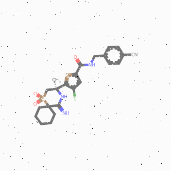 C[C@@]1(c2sc(C(=O)NCc3ccc(C#N)cc3)cc2Cl)CS(=O)(=O)C2(CCCCC2)C(=N)N1